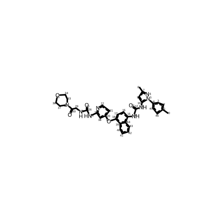 Cc1ccc(-n2nc(C)cc2NC(=O)Nc2ccc(Oc3ccnc(NC(=O)NCC(=O)N4CCOCC4)c3)c3ccccc23)cc1